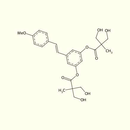 COc1ccc(/C=C/c2cc(OC(=O)C(C)(CO)CO)cc(OC(=O)C(C)(CO)CO)c2)cc1